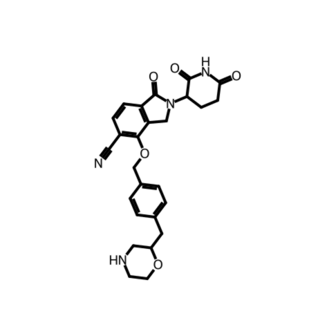 N#Cc1ccc2c(c1OCc1ccc(CC3CNCCO3)cc1)CN(C1CCC(=O)NC1=O)C2=O